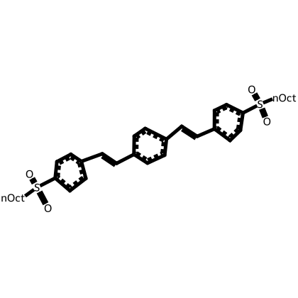 CCCCCCCCS(=O)(=O)c1ccc(/C=C/c2ccc(/C=C/c3ccc(S(=O)(=O)CCCCCCCC)cc3)cc2)cc1